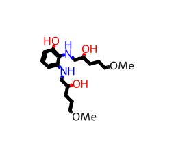 COCCCC(O)CNc1cccc(O)c1NCC(O)CCCOC